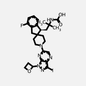 CC(C)(C[C@@H]1c2cccc(F)c2CC12CCN(c1cnc3c(I)nn(C4CCO4)c3n1)CC2)NC(=O)O